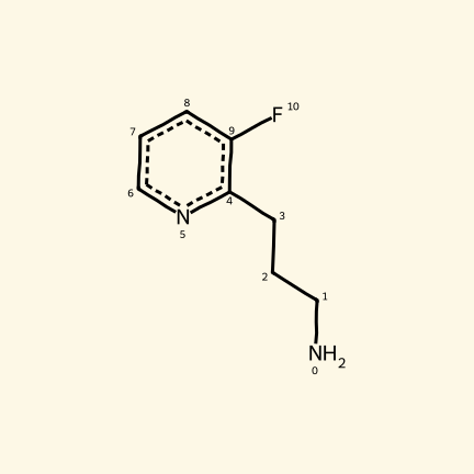 NCCCc1ncccc1F